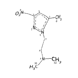 Cc1cc([N+](=O)[O-])nn1CCN(C)C